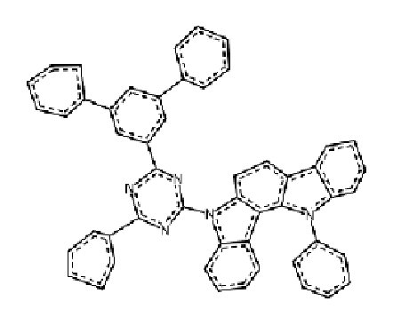 c1ccc(-c2cc(-c3ccccc3)cc(-c3nc(-c4ccccc4)nc(-n4c5ccccc5c5c4ccc4c6ccccc6n(-c6ccccc6)c45)n3)c2)cc1